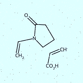 C=CN1CCCC1=O.[CH]=CC(=O)O